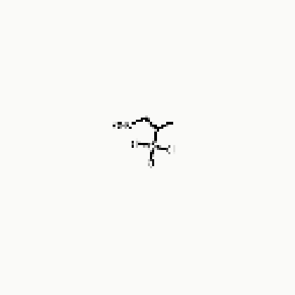 C[CH](CC=O)[Ge]([Cl])([Cl])[Cl]